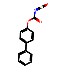 O=C=NC(=O)Oc1ccc(-c2ccccc2)cc1